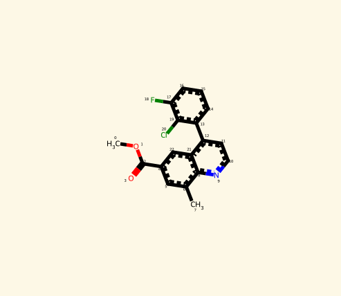 COC(=O)c1cc(C)c2nccc(-c3cccc(F)c3Cl)c2c1